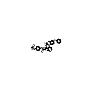 C=c1[nH]c2c(C(=O)NC3=CCC(NC(C)=O)CC3)sc3nccc(c32)n1-c1ccc(Oc2ccccc2)cc1C